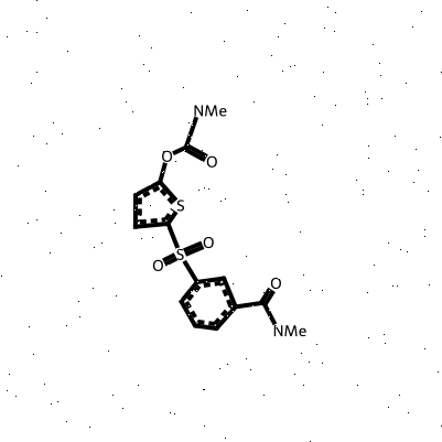 CNC(=O)Oc1ccc(S(=O)(=O)c2cccc(C(=O)NC)c2)s1